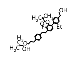 C=C(C)C(=O)Oc1c(-c2ccc(CCO)cc2CC)ccc(CCc2ccc(CCCOC(O)C(=C)C)cc2)c1F